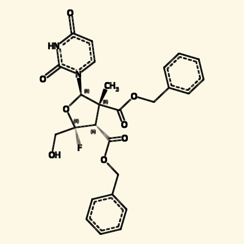 C[C@]1(C(=O)OCc2ccccc2)[C@H](n2ccc(=O)[nH]c2=O)O[C@](F)(CO)[C@H]1C(=O)OCc1ccccc1